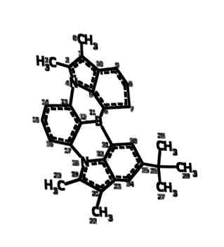 Cc1c(C)n2c3c(cccc13)B1c3c-2cccc3-n2c(C)c(C)c3cc(C(C)(C)C)cc1c32